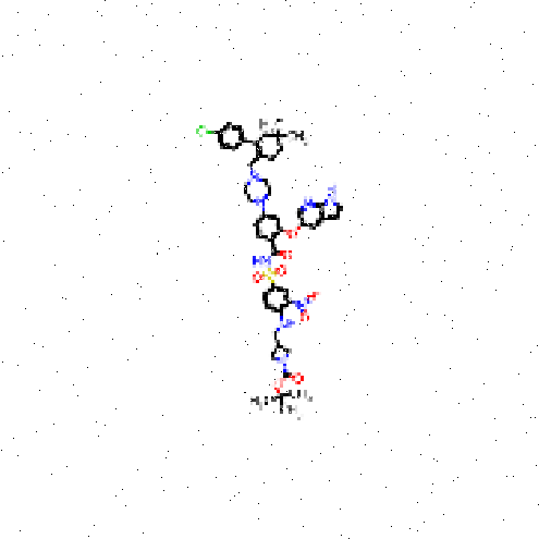 CC1(C)CCC(CN2CCN(c3ccc(C(=O)NS(=O)(=O)c4ccc(NCC5CN(C(=O)OC(C)(C)C)C5)c([N+](=O)[O-])c4)c(Oc4cnc5[nH]ccc5c4)c3)CC2)=C(c2ccc(Cl)cc2)C1